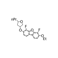 CCCC1CC(Oc2ccc3c(oc4c(F)c(OCC)ccc43)c2F)CO1